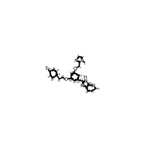 Cn1ccnc1COc1cc(OCCc2ccc(F)cc2)cc(-c2nc3cccnc3[nH]2)c1